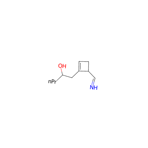 CCCC(O)CC1=CCC1C=N